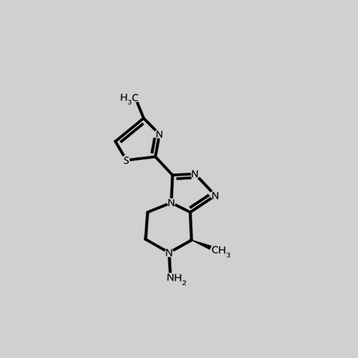 Cc1csc(-c2nnc3n2CCN(N)[C@@H]3C)n1